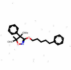 COC1(c2ccccc2)C(OCCCCCc2ccccc2)=NOC1(C)C=O